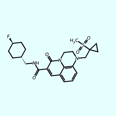 CS(=O)(=O)C1(CN2CCn3c(=O)c(C(=O)NC[C@H]4CC[C@H](F)CC4)cc4cccc2c43)CC1